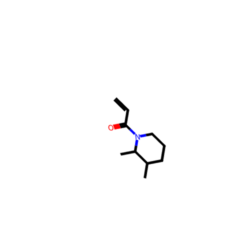 C=CC(=O)N1CCCC(C)C1C